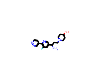 N[C@H](CCN1CCC(O)CC1)c1cnc(-c2ccnnc2)c(F)c1